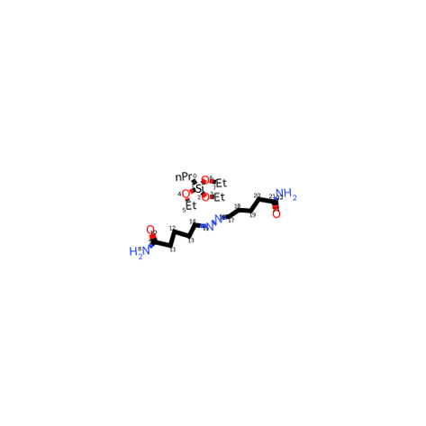 CCC[Si](OCC)(OCC)OCC.NC(=O)CCCCN=NCCCCC(N)=O